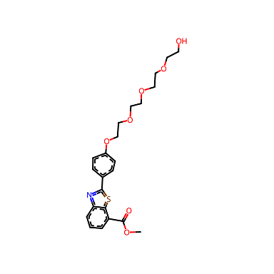 COC(=O)c1cccc2nc(-c3ccc(OCCOCCOCCOCCO)cc3)sc12